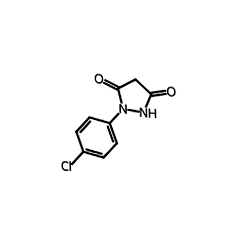 O=C1CC(=O)N(c2ccc(Cl)cc2)N1